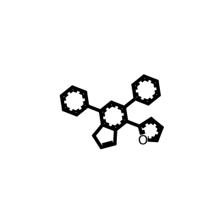 C1=Cc2c(c(-c3ccccc3)cc(-c3ccccc3)c2-c2ccco2)C1